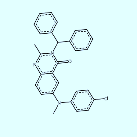 Cc1nc2ccc(N(C)c3ccc(Cl)cc3)cc2c(=O)n1C(c1ccccc1)c1ccccc1